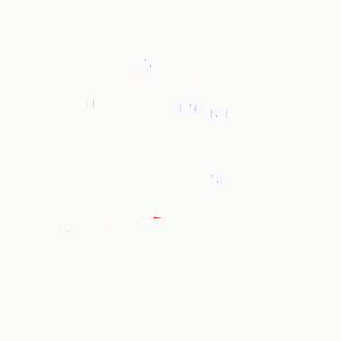 CCOc1ccccc1O[C@H](c1ccccc1)[C@H]1CNCCO1.Cc1cc(C(=O)NNCc2ccccc2)no1